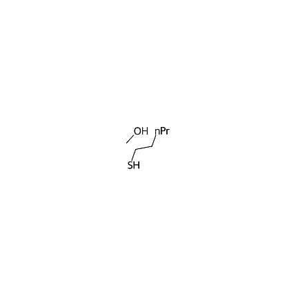 CCCCCS.CO